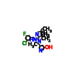 C=C(C)C(/N=C\C(C)CC)=C(\N=C(/C)c1cncc(O)c1)NCc1cc(F)cc(Cl)c1